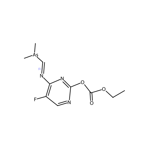 CCOC(=O)Oc1ncc(F)c(/N=C/[As](C)C)n1